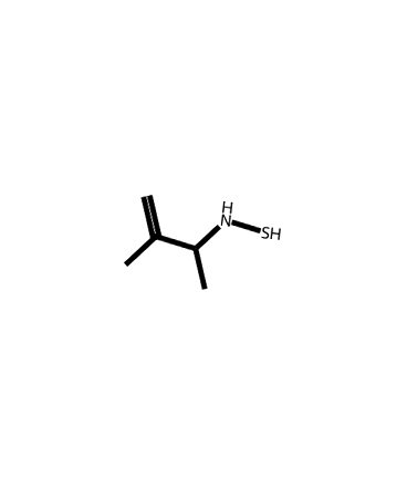 C=C(C)C(C)NS